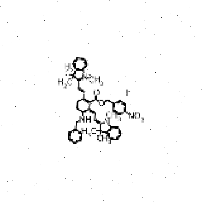 CN1C(=CC=C2C(C(=O)OCc3ccc([N+](=O)[O-])cc3)=C(C=CC3=[N+](C)c4ccccc4C3(C)C)CCC2NCc2ccccc2)C(C)(C)c2ccccc21.[I-]